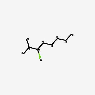 CCCCCC(F)C(C)C